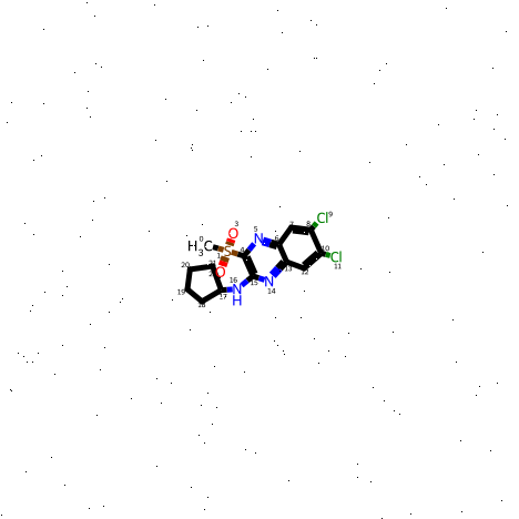 CS(=O)(=O)c1nc2cc(Cl)c(Cl)cc2nc1NC1CCCC1